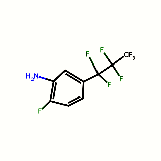 Nc1cc(C(F)(F)C(F)(F)C(F)(F)F)ccc1F